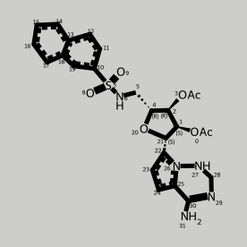 CC(=O)O[C@@H]1[C@H](OC(C)=O)[C@@H](CNS(=O)(=O)c2ccc3ccccc3c2)O[C@H]1c1ccc2n1NCN=C2N